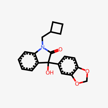 O=C1N(CC2CCC2)c2ccccc2C1(O)c1ccc2c(c1)OCO2